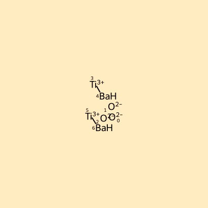 [O-2].[O-2].[O-2].[Ti+3][BaH].[Ti+3][BaH]